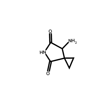 NC1C(=O)NC(=O)C12CC2